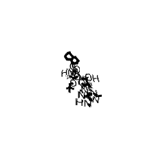 CNc1nc(C)nc2c1ncn2[C@@H]1O[C@H](CO[P@](=O)(N[C@@H](C)C(=O)OCC(C)(C)C)Oc2cccc3ccccc23)[C@@H](O)[C@@]1(C)F